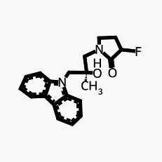 C[C@@](O)(CN1CCC(F)C1=O)Cn1c2ccccc2c2ccccc21